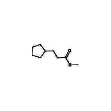 C[N]C(=O)CCC1CCCC1